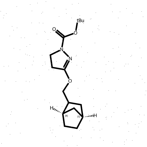 CC(C)(C)OC(=O)N1CCC(OCC2C[C@H]3CC[C@@H]2C3)=N1